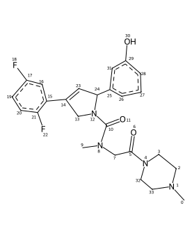 CN1CCN(C(=O)CN(C)C(=O)N2CC(c3cc(F)ccc3F)=CC2c2cccc(O)c2)CC1